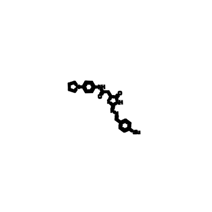 CC(C)(C)c1ccc(/C=N/N=C2\NC(=O)C(CC(=O)Nc3ccc(N4CCCC4)cc3)S2)cc1